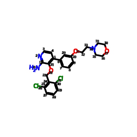 Nc1nccc(-c2cccc(OCCN3CCOCC3)c2)c1OCc1c(Cl)cccc1Cl